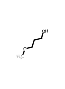 COCC[CH]O